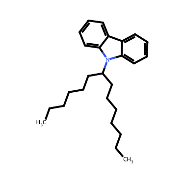 CCCCCCCC(CCCCCC)n1c2ccccc2c2ccccc21